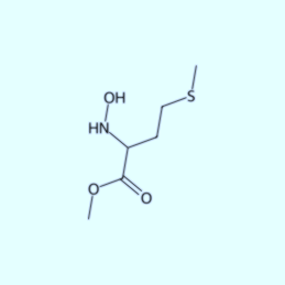 COC(=O)C(CCSC)NO